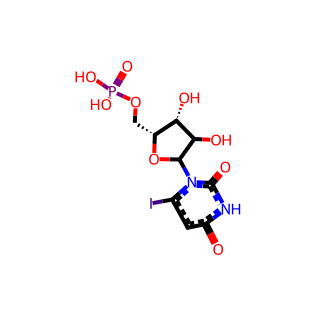 O=c1cc(I)n(C2O[C@H](COP(=O)(O)O)[C@H](O)C2O)c(=O)[nH]1